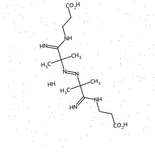 CC(C)(N=NC(C)(C)C(=N)NCCC(=O)O)C(=N)NCCC(=O)O.[HH]